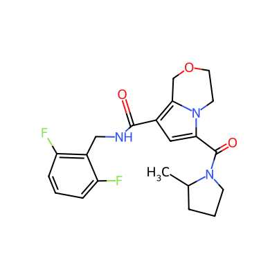 CC1CCCN1C(=O)c1cc(C(=O)NCc2c(F)cccc2F)c2n1CCOC2